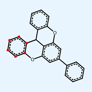 c1ccc(-c2cc3c4c(c2)Oc2ccccc2C4(c2ccccc2)c2ccccc2O3)cc1